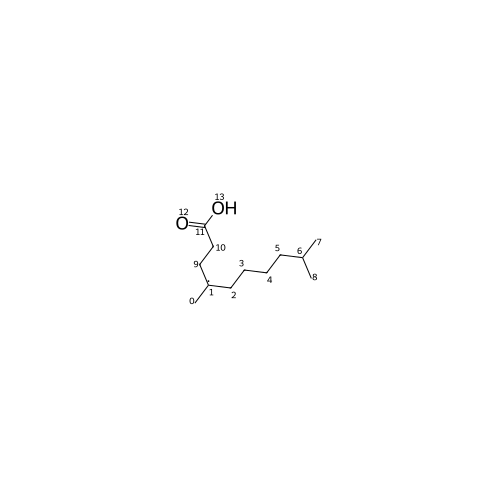 C[C](CCCCC(C)C)CCC(=O)O